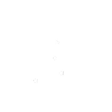 Clc1cc(Cl)c2oc3c(Br)cccc3c2c1